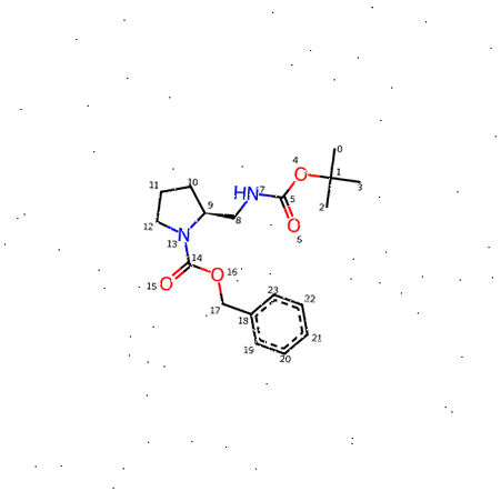 CC(C)(C)OC(=O)NC[C@@H]1CCCN1C(=O)OCc1ccccc1